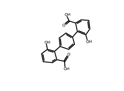 O=C(O)c1cccc(O)c1-c1ccc(-c2c(O)cccc2C(=O)O)cc1